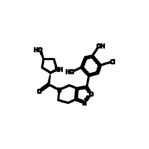 O=C([C@@H]1C[C@@H](O)CN1)N1CCc2noc(-c3cc(Cl)c(O)cc3O)c2C1